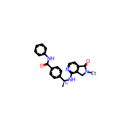 CCN1Cc2c(ccnc2N[C@@H](C)c2ccc(C(=O)Nc3ccccc3)cc2)C1=O